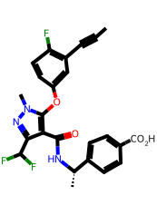 CC#Cc1cc(Oc2c(C(=O)N[C@@H](C)c3ccc(C(=O)O)cc3)c(C(F)F)nn2C)ccc1F